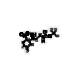 Cc1ccc([N+](=O)[O-])c(N(S)CCNC(=O)OC(C)(C)C)c1